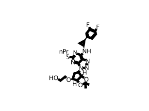 CCCSc1nc(N[C@@H]2C[C@H]2c2ccc(F)c(F)c2)c2nnn(C3C[C@H](OCCO)[C@H]4OC(C)(C)O[C@@H]34)c2n1